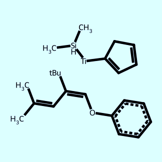 CC(C)=CC(=COc1ccccc1)C(C)(C)C.C[SiH](C)[Ti][C]1=CC=CC1